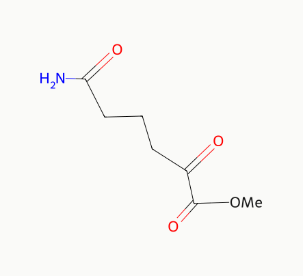 COC(=O)C(=O)CCCC(N)=O